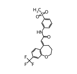 CS(=O)(=O)c1cccc(NC(=O)C=C2CCCOc3cc(C(F)(F)F)ccc32)c1